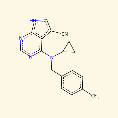 N#Cc1c[nH]c2ncnc(N(Cc3ccc(C(F)(F)F)cc3)C3CC3)c12